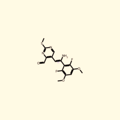 COc1cc(OC)c(F)c(/C(N)=C/c2cnc(SC)nc2C=O)c1F